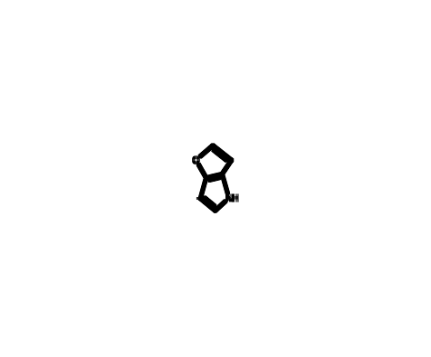 [c]1c[nH]c2ccoc12